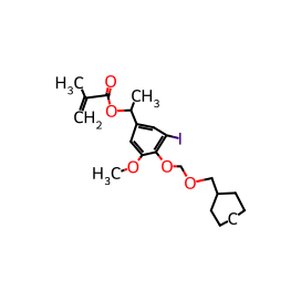 C=C(C)C(=O)OC(C)c1cc(I)c(OCOCC2CCCCC2)c(OC)c1